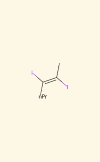 CCCC(I)=C(C)I